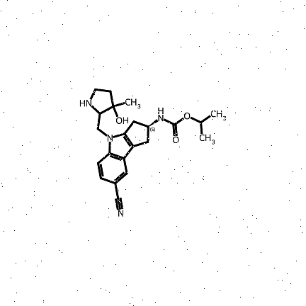 CC(C)OC(=O)N[C@H]1Cc2c(n(CC3NCCC3(C)O)c3ccc(C#N)cc23)C1